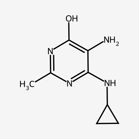 Cc1nc(O)c(N)c(NC2CC2)n1